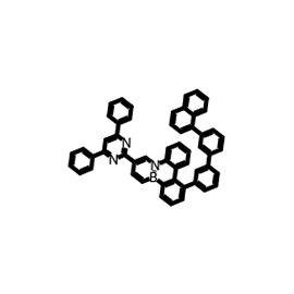 C1=CC(c2nc(-c3ccccc3)cc(-c3ccccc3)n2)=CN2B1c1cccc(-c3cccc(-c4cccc(-c5cccc6ccccc56)c4)c3)c1-c1ccccc12